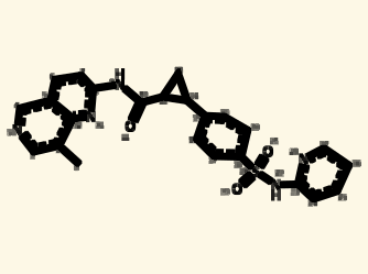 Cc1cncc2ccc(NC(=O)C3CC3c3ccc(S(=O)(=O)Nc4ccccn4)cc3)nc12